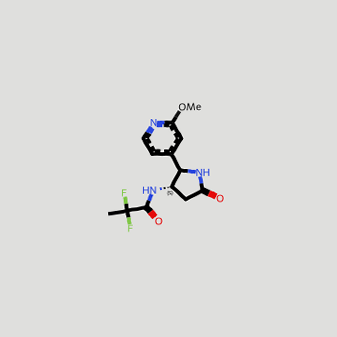 COc1cc(C2NC(=O)C[C@@H]2NC(=O)C(C)(F)F)ccn1